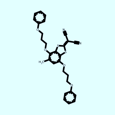 Cc1cc(OCCCOc2ccccc2)c2c(c1OCCCOc1ccccc1)SC(=C(C#N)C#N)S2